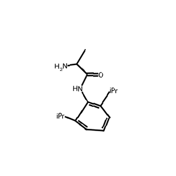 CC(N)C(=O)Nc1c(C(C)C)cccc1C(C)C